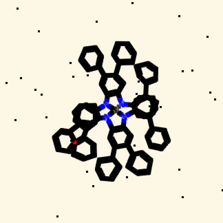 c1ccc(-c2cccc(N3c4cc(-c5ccccc5)c(-c5ccccc5)cc4N(c4cccc(-c5ccccc5)c4)[Si]34N(c3cccc(-c5ccccc5)c3)c3cc(-c5ccccc5)c(-c5ccccc5)cc3N4c3cccc(-c4ccccc4)c3)c2)cc1